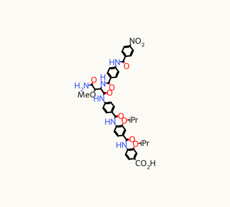 COC(C(N)=O)C(NC(=O)c1ccc(NC(=O)c2ccc([N+](=O)[O-])cc2)cc1)C(=O)Nc1ccc(C(=O)Nc2ccc(C(=O)Nc3ccc(C(=O)O)cc3OC(C)C)cc2OC(C)C)cc1